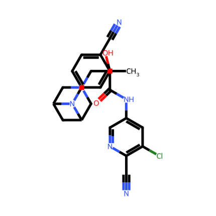 CC(O)(CN1CC2CC(C1)N2c1ccc(C#N)cc1)C(=O)Nc1cnc(C#N)c(Cl)c1